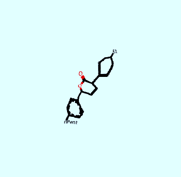 CCCCCc1ccc(C2CCC(C3CCC(CC)CC3)C(=O)O2)cc1